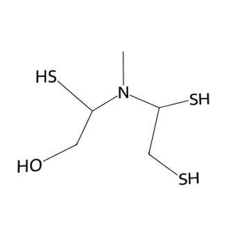 CN(C(S)CO)C(S)CS